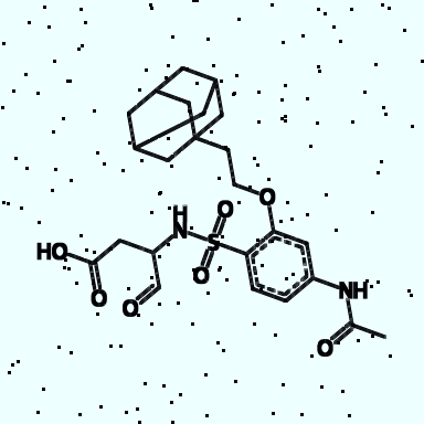 CC(=O)Nc1ccc(S(=O)(=O)NC(C=O)CC(=O)O)c(OCCC23CC4CC(CC(C4)C2)C3)c1